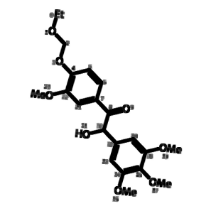 CCOCOc1ccc(C(=O)C(O)c2cc(OC)c(OC)c(OC)c2)cc1OC